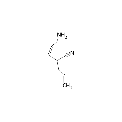 C=CCC(C#N)/C=C\CN